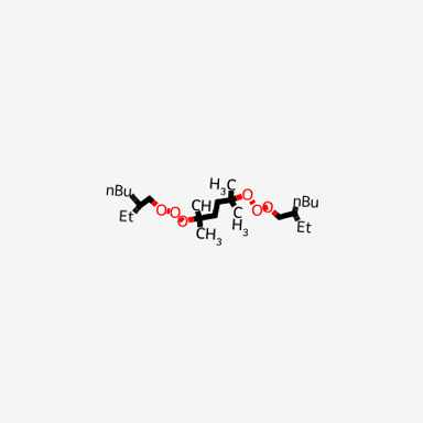 CCCCC(CC)COOOC(C)(C)CCC(C)(C)OOOCC(CC)CCCC